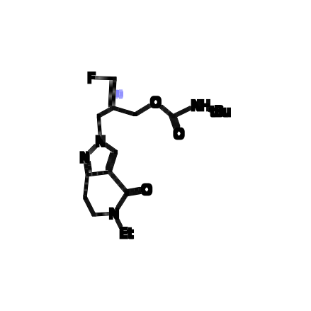 CCN1CCc2nn(C/C(=C\F)COC(=O)NC(C)(C)C)cc2C1=O